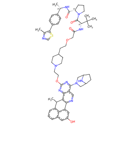 Cc1ncsc1-c1ccc([C@H](C)NC(=O)[C@@H]2CCCN2C(=O)[C@@H](NC(=O)COCCC2CCN(CCOc3nc(N4CC5CCC(C4)N5)c4cnc5c(c4n3)C(C)c3cccc4cc(O)cc-5c34)CC2)C(C)(C)C)cc1